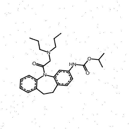 CCCN(CCC)CC(=O)N1c2ccccc2CCc2ccc(NC(=O)OC(C)C)cc21